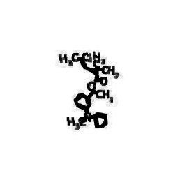 CC(Cl)=CC1C(C(=O)OC(C)c2cccc(N(C)c3ccccc3)c2)C1(C)C